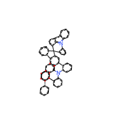 c1ccc(-c2ccccc2-c2ccccc2N(c2ccccc2-c2ccc3c(c2)C2(c4ccccc4-3)c3ccccc3-n3c4ccccc4c4cccc2c43)c2cccc3ccccc23)cc1